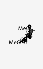 COCCNC(=O)Oc1ccc(C(=O)NS(=O)(=O)c2cccc(C(=O)NCCc3ccccc3OC)c2)cn1